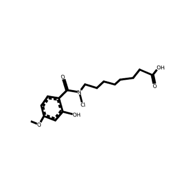 COc1ccc(C(=O)N(Cl)CCCCCCCC(=O)O)c(O)c1